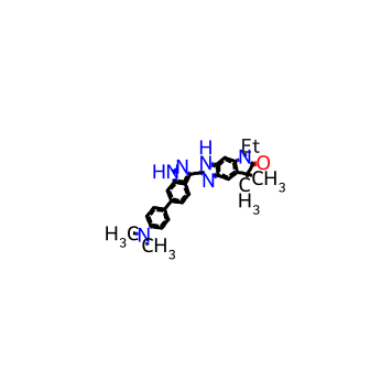 CCN1C(=O)C(C)(C)c2cc3nc(-c4n[nH]c5cc(-c6ccc(N(C)C)cc6)ccc45)[nH]c3cc21